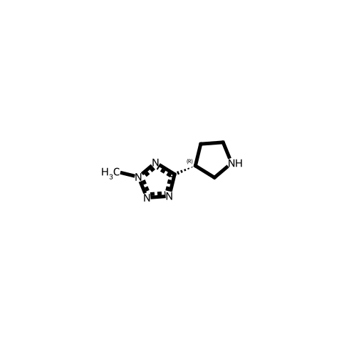 Cn1nnc([C@@H]2CCNC2)n1